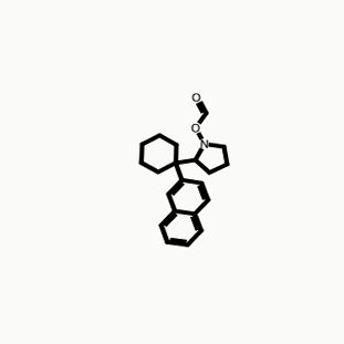 O=CON1CCCC1C1(c2ccc3ccccc3c2)CCCCC1